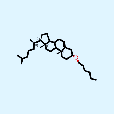 CCCCCCOC1CC[C@@]2(C)C(=CCC3C2CC[C@@]2(C)C3CC[C@@H]2[C@H](C)CCCC(C)C)C1